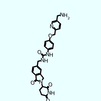 NCc1ccc(COc2ccc(NC(=O)NCc3ccc4c(c3)CN(C3CCC(=O)NC3=O)C4=O)cc2)nc1